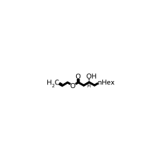 C=CCOC(=O)C[C@H](O)CCCCCCC